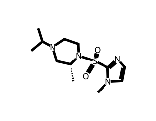 CC(C)N1CCN(S(=O)(=O)c2nccn2C)[C@H](C)C1